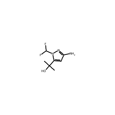 CC(C)(O)c1cc(N)nn1C(F)F